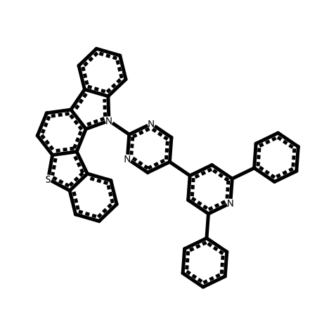 c1ccc(-c2cc(-c3cnc(-n4c5ccccc5c5ccc6sc7ccccc7c6c54)nc3)cc(-c3ccccc3)n2)cc1